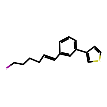 ICCCCC=Cc1cccc(-c2ccsc2)c1